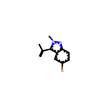 C=C(C)c1c2cc(Br)ccc2nn1C